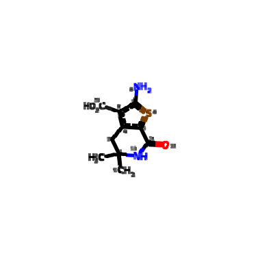 CC1(C)Cc2c(sc(N)c2C(=O)O)C(=O)N1